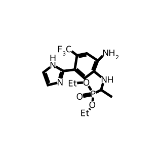 CCOP(=O)(OCC)C(C)Nc1cc(-c2ncc[nH]2)c(C(F)(F)F)cc1N